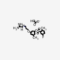 Cc1cc(OCC/C=N\NC(=N)N)cc(OS(=O)(=O)c2cc(F)ccc2C)c1.O=[N+]([O-])O